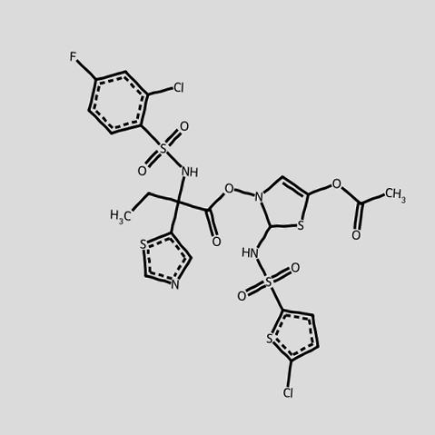 CCC(NS(=O)(=O)c1ccc(F)cc1Cl)(C(=O)ON1C=C(OC(C)=O)SC1NS(=O)(=O)c1ccc(Cl)s1)c1cncs1